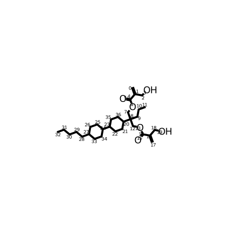 C=C(CO)C(=O)OCC(CCC)(COC(=O)C(=C)CO)C1CCC(C2CCC(CCCCC)CC2)CC1